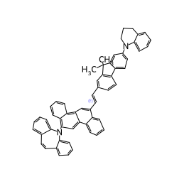 CC1(C)c2cc(/C=C/c3cc4c5ccccc5c(N5c6ccccc6C=Cc6ccccc65)cc4c4ccccc34)ccc2-c2ccc(N3CCCc4ccccc43)cc21